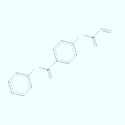 C=CC(=O)Oc1ccc(C(=O)Oc2ccccc2)cc1